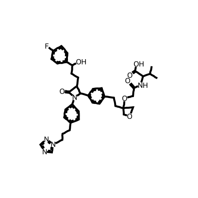 CC(C)C(NC(=O)COC1(CCc2ccc(C3C(CCC(O)c4ccc(F)cc4)C(=O)N3c3ccc(CCCn4cncn4)cc3)cc2)COC1)C(=O)O